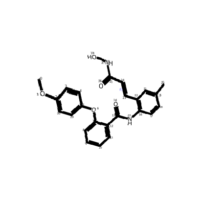 COc1ccc(Oc2ccccc2C(=O)Nc2ccc(C)cc2/C=C/C(=O)NO)cc1